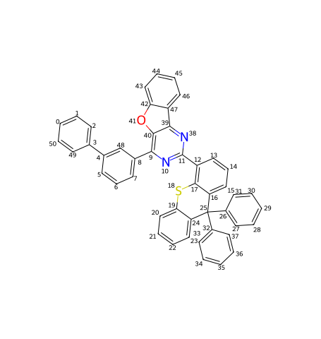 c1ccc(-c2cccc(-c3nc(-c4cccc5c4Sc4ccccc4C5(c4ccccc4)c4ccccc4)nc4c3oc3ccccc34)c2)cc1